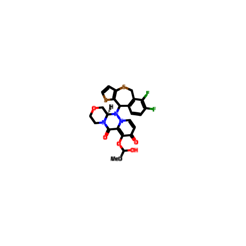 COC(O)Oc1c2n(ccc1=O)N(C1c3ccc(F)c(F)c3CSc3ccsc31)[C@@H]1COCCN1C2=O